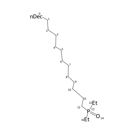 CCCCCCCCCCCCCCCCCCCCCCP(=O)(CC)CC